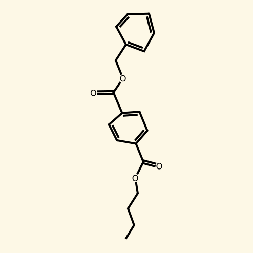 CCCCOC(=O)c1ccc(C(=O)OCc2ccccc2)cc1